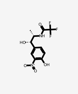 C[C@H](NC(=O)C(F)(F)F)[C@@H](O)c1ccc(O)c([N+](=O)[O-])c1